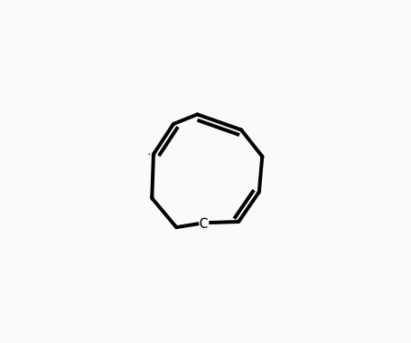 [C]1=C\C=C/C/C=C\CCC/1